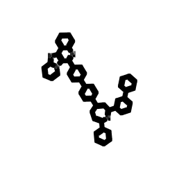 C1=C(c2ccc(-c3ccc(-c4nc5ccccc5c5nc6ccccn6c45)cc3)cc2)CC=C(c2ccccc2)N=C1c1cccc(-c2ccccc2)c1